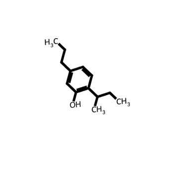 CCCc1ccc(C(C)CC)c(O)c1